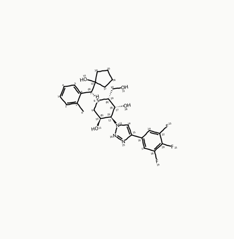 Cc1ccccc1[C@@H]([SH]1C[C@H](O)[C@H](n2cc(-c3cc(F)c(F)c(F)c3)nn2)[C@@H](O)[C@H]1CO)C1(O)CCCC1